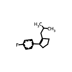 CC(C)CC1=C(c2ccc(F)cc2)CCC1